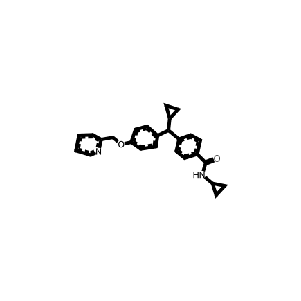 O=C(NC1CC1)c1ccc(C(c2ccc(OCc3ccccn3)cc2)C2CC2)cc1